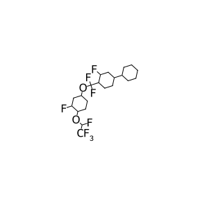 FC1CC(OC(F)(F)C2CCC(C3CCCCC3)CC2F)CCC1OC(F)C(F)(F)F